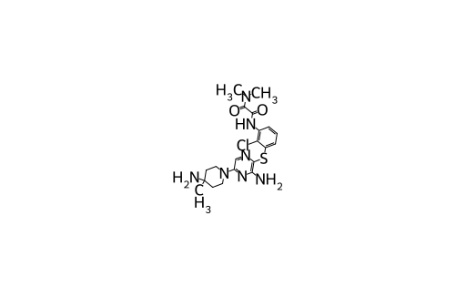 CN(C)C(=O)C(=O)Nc1cccc(Sc2ncc(N3CCC(C)(N)CC3)nc2N)c1Cl